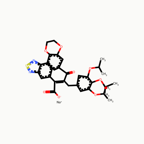 CC(C)Oc1cc(CC(C(=O)c2ccc3c(c2)OCCO3)=C(C(=O)[O-])c2ccc3nsnc3c2)cc(OC(C)C)c1OC(C)C.[Na+]